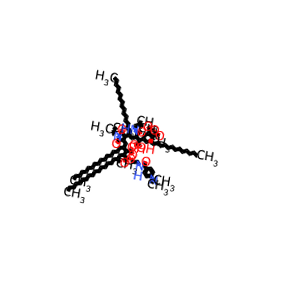 CCCCCCCCCCCCCCCCC(C)CC(C(=O)OCCNC(=O)c1ccc(N(C)C)cc1)C(C(=O)O)C(CCCCCCCCCCCCCCCC)CC1C(=O)N(CC(C)C)C(=O)C1C(CCCCCCCCCCCCCCCC)CC(C(=O)NCC(C)C)C(C(=O)O)C(CCCCCCCCCCCCCCCC)CC1C(=O)OC(=O)C1C